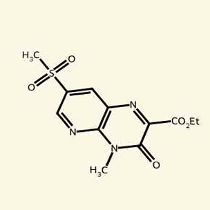 CCOC(=O)c1nc2cc(S(C)(=O)=O)cnc2n(C)c1=O